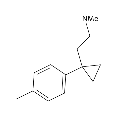 CNCCC1(c2ccc(C)cc2)CC1